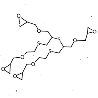 C(CSCC(COCC1CO1)SC(COCC1CO1)CSCCOCC1CO1)OCC1CO1